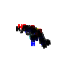 CC(C)c1ccccc1[C@@H]1CCC[C@@H]1N1CC2(CCN(c3ccc(C(=O)NSc4cc(N=O)c5c(c4)OC[C@H]([C@H]4CC[C@](C)(O)CC4)N5)c(Oc4cnc5[nH]cc(F)c5c4)c3)CC2)C1